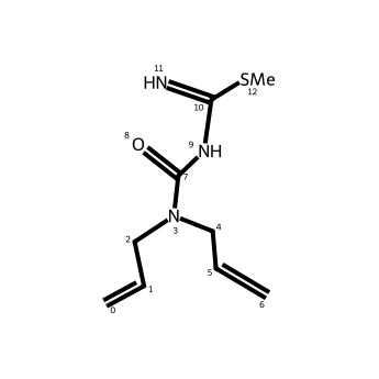 C=CCN(CC=C)C(=O)NC(=N)SC